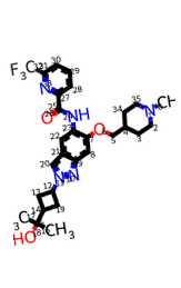 CN1CCC(COc2cc3nn(C4CC(C(C)(C)O)C4)cc3cc2NC(=O)c2cccc(C(F)(F)F)n2)CC1